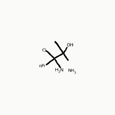 CCCC(N)(Cl)C(C)(C)O.N